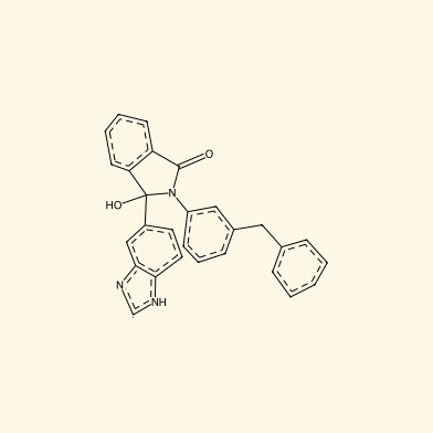 O=C1c2ccccc2C(O)(c2ccc3[nH][c]nc3c2)N1c1cccc(Cc2ccccc2)c1